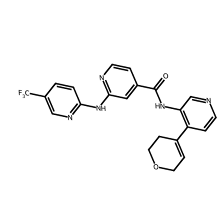 O=C(Nc1cnccc1C1=CCOCC1)c1ccnc(Nc2ccc(C(F)(F)F)cn2)c1